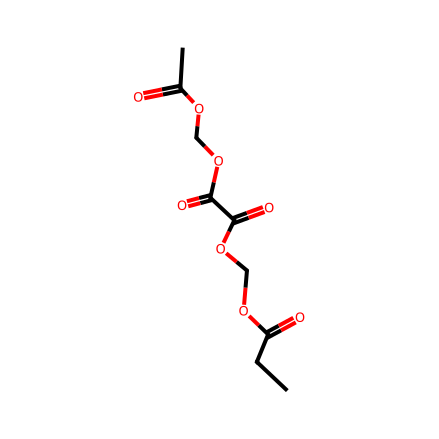 CCC(=O)OCOC(=O)C(=O)OCOC(C)=O